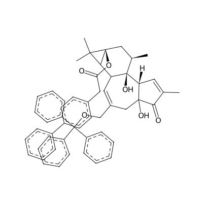 CC1=C[C@@H]2C(O)(CC(COC(c3ccccc3)(c3ccccc3)c3ccccc3)=CC3C4C(C)(C)[C@]4(OC(=O)Cc4ccc(-c5ccccc5)cc4)C[C@@H](C)[C@@]32O)C1=O